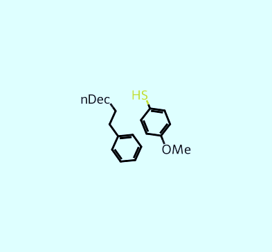 CCCCCCCCCCCCc1ccccc1.COc1ccc(S)cc1